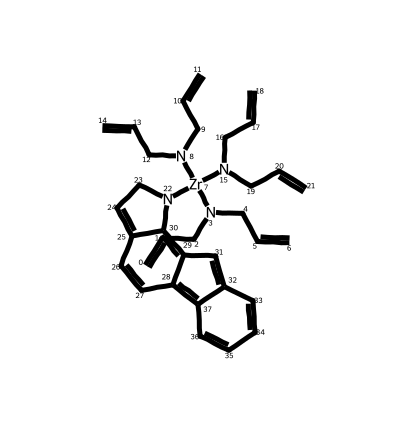 C=CC[N](CC=C)[Zr]([N](CC=C)CC=C)([N](CC=C)CC=C)[N]1CC=c2ccc3c(c21)C=c1ccccc1=3